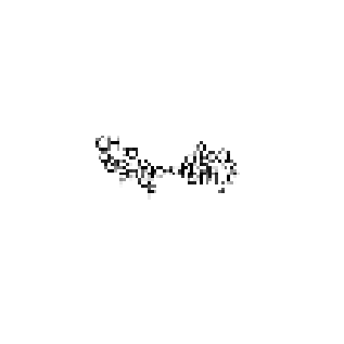 C=Cc1ccc(Oc2ccc(C3(c4cccc(F)c4)c4ccccc4-c4ccc(N(c5ccc(-c6ccc(N(c7cccc(F)c7)c7ccc8c(c7)[C@](c7ccc(Oc9ccc(C=C)cc9)cc7)(c7cccc(F)c7)c7ccccc7-8)cc6)cc5)c5cccc(F)c5)cc43)cc2)cc1